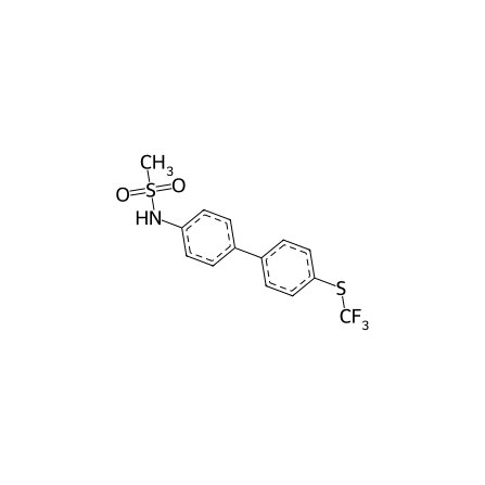 CS(=O)(=O)Nc1ccc(-c2ccc(SC(F)(F)F)cc2)cc1